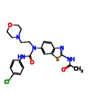 CC(=O)Nc1nc2ccc(N(CCN3CCOCC3)C(=O)Nc3ccc(Cl)cc3)cc2s1